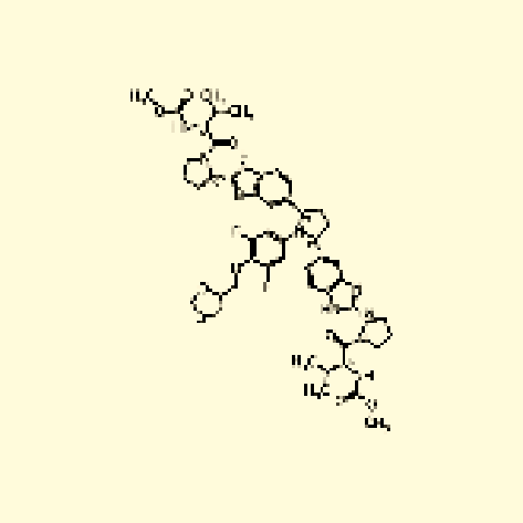 COC(=O)N[C@H](C(=O)N1CCC[C@H]1c1nc2cc([C@H]3CC[C@H](c4ccc5[nH]c([C@@H]6CCCN6C(=O)[C@@H](NC(=O)OC)C(C)C)nc5c4)N3c3cc(F)c(OCC4COCO4)c(F)c3)ccc2[nH]1)C(C)C